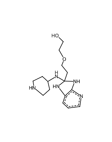 OCCOCCC1(NC2CCNCC2)Nc2cccnc2N1